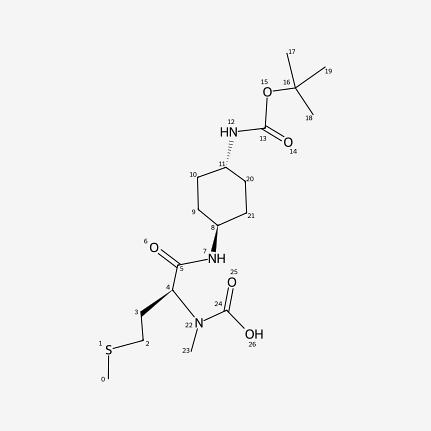 CSCC[C@@H](C(=O)N[C@H]1CC[C@H](NC(=O)OC(C)(C)C)CC1)N(C)C(=O)O